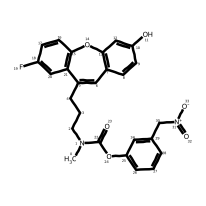 CN(CCCC1=Cc2ccc(O)cc2Oc2ccc(F)cc21)C(=O)Oc1cccc(C[N+](=O)[O-])c1